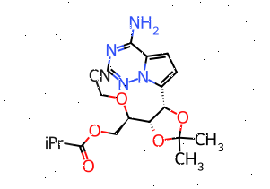 CC(C)C(=O)OC[C@@H](OCC#N)[C@H]1OC(C)(C)O[C@H]1c1ccc2c(N)ncnn12